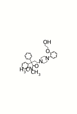 CN(C)C(=O)C(CCN1CCN(c2ccccc2OCCO)CC1)(c1ccccc1)c1ccccc1